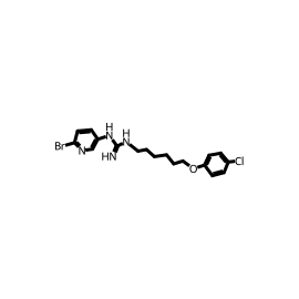 N=C(NCCCCCCOc1ccc(Cl)cc1)Nc1ccc(Br)nc1